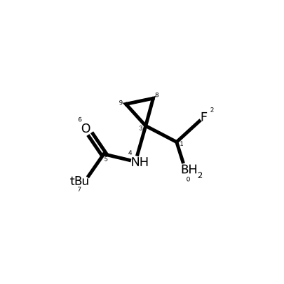 BC(F)C1(NC(=O)C(C)(C)C)CC1